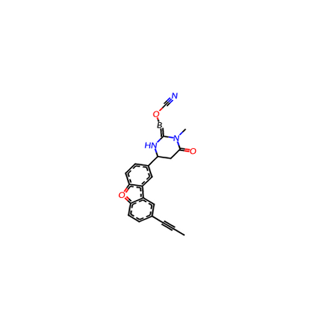 CC#Cc1ccc2oc3ccc(C4CC(=O)N(C)C(=BOC#N)N4)cc3c2c1